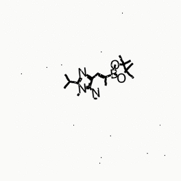 C=Nc1c(/C=C(\C)B2OC(C)(C)C(C)(C)O2)nc(C(C)C)n1C